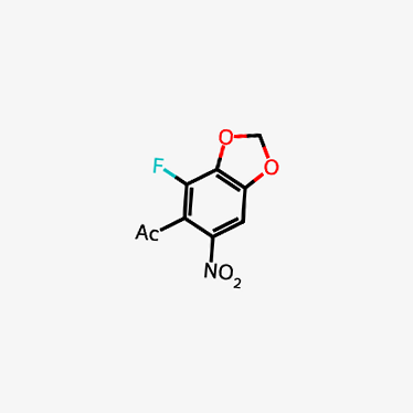 CC(=O)c1c([N+](=O)[O-])cc2c(c1F)OCO2